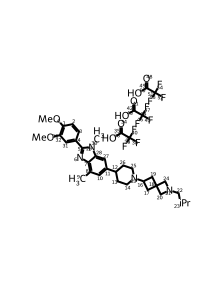 COc1ccc(-c2nc3c(C)cc(C4CCN(C5CC6(C5)CN(CC(C)C)C6)CC4)cc3n2C)cc1OC.O=C(O)C(F)(F)F.O=C(O)C(F)(F)F.O=C(O)C(F)(F)F